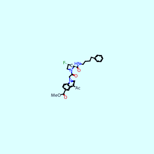 COC(=O)c1ccc2c(c1)c(C(C)=O)cn2CC(=O)N1C[C@H](F)C[C@H]1C(=O)NCCCCc1ccccc1